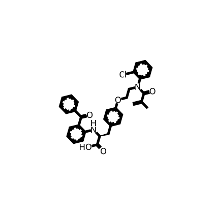 C=C(C)C(=O)N(CCOc1ccc(C[C@H](Nc2ccccc2C(=O)c2ccccc2)C(=O)O)cc1)c1ccccc1Cl